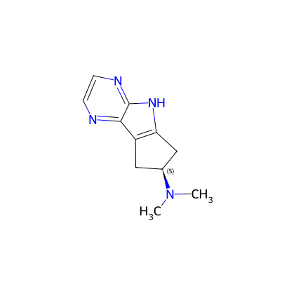 CN(C)[C@@H]1Cc2[nH]c3nccnc3c2C1